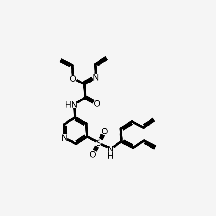 C=C/C=C\C(=C/C=C)NS(=O)(=O)c1cncc(NC(=O)/C(=N/C=C)OC=C)c1